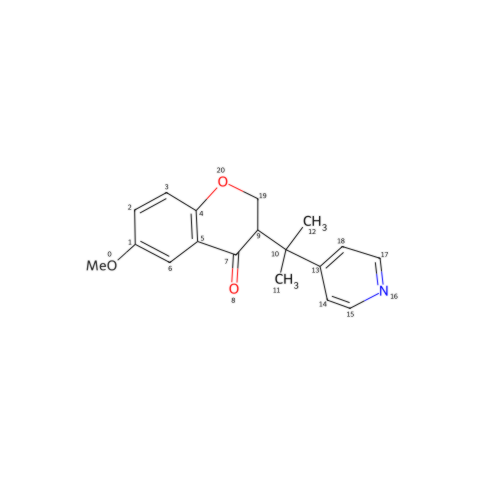 COc1ccc2c(c1)C(=O)C(C(C)(C)c1ccncc1)CO2